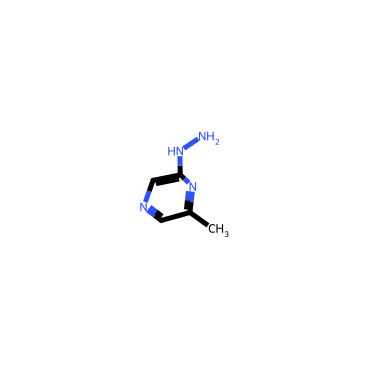 Cc1cncc(NN)n1